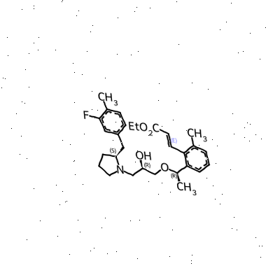 CCOC(=O)/C=C/c1c(C)cccc1[C@@H](C)OC[C@H](O)CN1CCC[C@H]1Cc1ccc(C)c(F)c1